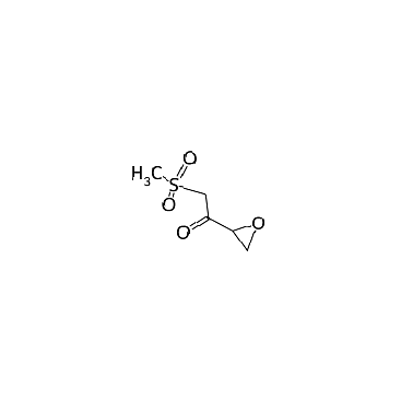 CS(=O)(=O)CC(=O)C1CO1